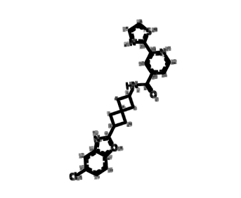 O=C(NC1CC2(C1)CC(c1nc3cc(Cl)ccc3o1)C2)c1ccnc(-c2nccs2)c1